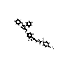 Cc1cc(OCc2nnc(SC3C=CCCC3)n2-c2cccnc2)ccc1C#CCOC(=O)NN1CCN(C)CC1